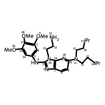 COc1cc(Nc2nc3ccc(N(CCC(C)C)CCC(C)C)nc3n2CCN)cc(OC)c1OC